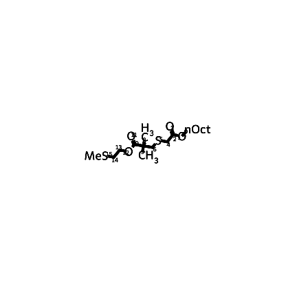 CCCCCCCCOC(=O)CSCC(C)(C)C(=O)OCCSC